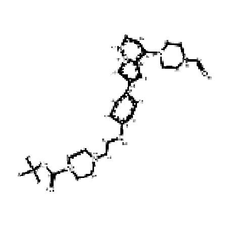 CC(C)(C)OC(=O)N1CCN(CCOc2ccc(-c3cc4c(N5CCN(C=O)CC5)ccnn4c3)cc2)CC1